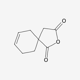 O=C1CC2(CC=CCC2)C(=O)O1